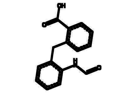 O=CNc1ccccc1Cc1ccccc1C(=O)O